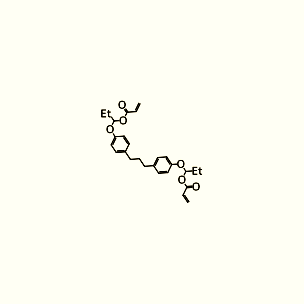 C=CC(=O)OC(CC)Oc1ccc(CCCc2ccc(OC(CC)OC(=O)C=C)cc2)cc1